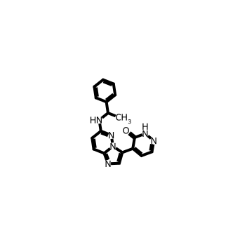 CC(Nc1ccc2ncc(-c3ccn[nH]c3=O)n2n1)c1ccccc1